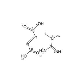 CN(C)C(=N)N.O=C(O)/C=C/C(=O)O